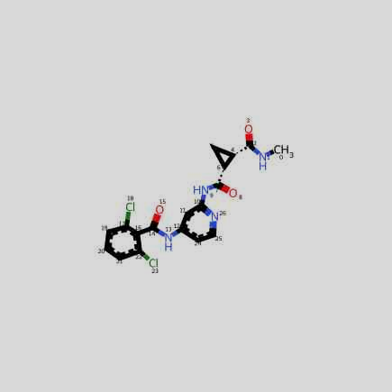 CNC(=O)[C@H]1C[C@H]1C(=O)Nc1cc(NC(=O)c2c(Cl)cccc2Cl)ccn1